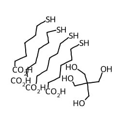 O=C(O)CCCCCS.O=C(O)CCCCCS.O=C(O)CCCCCS.O=C(O)CCCCCS.OCC(CO)(CO)CO